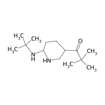 CC(C)(C)NC1CCC(C(=O)C(C)(C)C)CN1